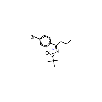 CCC/C(=N/[S+]([O-])C(C)(C)C)c1ccc(Br)cc1